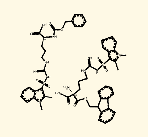 Cc1c(S(=O)(=O)NC(=N)NCCC[C@H](NC(=O)OCc2ccccc2)C(=O)O)c2ccccc2n1C.Cc1c(S(=O)(=O)NC(=N)NCCC[C@](N)(C(=O)O)C(=O)OCC2c3ccccc3-c3ccccc32)c2ccccc2n1C